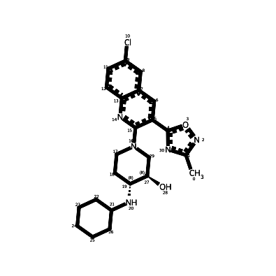 Cc1noc(-c2cc3cc(Cl)ccc3nc2N2CC[C@@H](NC3CCCCC3)[C@H](O)C2)n1